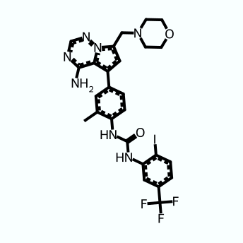 Cc1cc(-c2cc(CN3CCOCC3)n3ncnc(N)c23)ccc1NC(=O)Nc1cc(C(F)(F)F)ccc1I